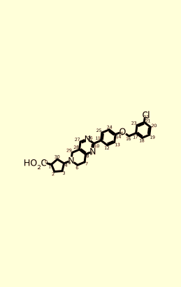 O=C(O)C1CCC(N2CCc3nc(-c4ccc(OCc5cccc(Cl)c5)cc4)ncc3C2)C1